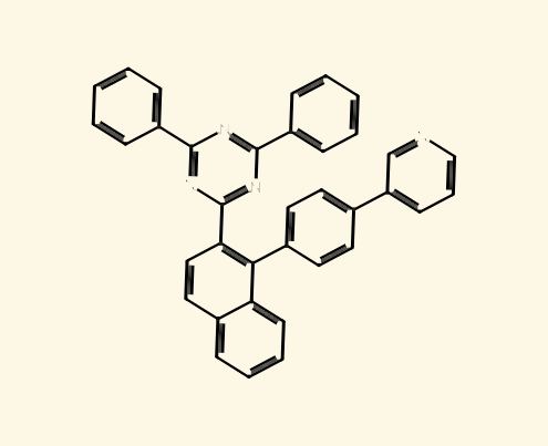 c1ccc(-c2nc(-c3ccccc3)nc(-c3ccc4ccccc4c3-c3ccc(-c4cccnc4)cc3)n2)cc1